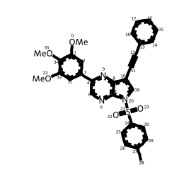 COc1cc(-c2cnc3c(n2)c(C#Cc2ccccc2)cn3S(=O)(=O)c2ccc(C)cc2)cc(OC)c1OC